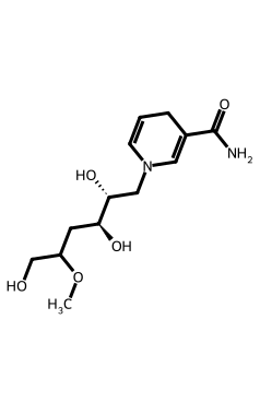 COC(CO)C[C@H](O)[C@H](O)CN1C=CCC(C(N)=O)=C1